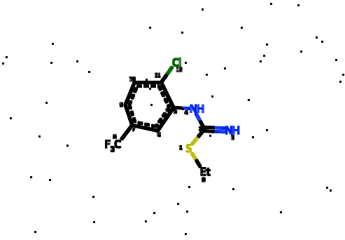 CCSC(=N)Nc1cc(C(F)(F)F)ccc1Cl